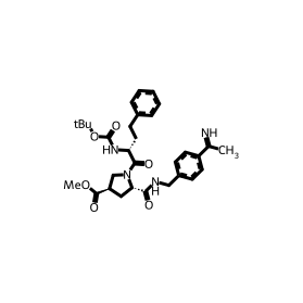 COC(=O)[C@@H]1C[C@@H](C(=O)NCc2ccc(C(C)=N)cc2)N(C(=O)[C@@H](CCc2ccccc2)NC(=O)OC(C)(C)C)C1